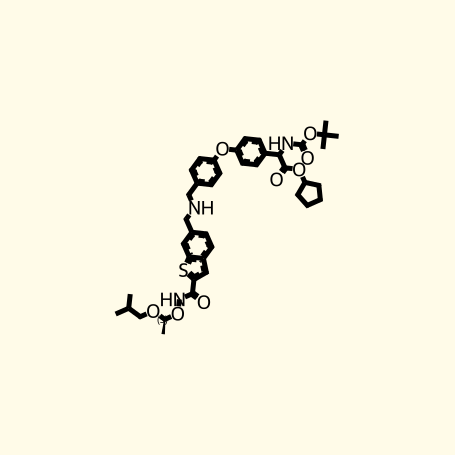 CC(C)CO[C@H](C)ONC(=O)c1cc2ccc(CNCc3ccc(Oc4ccc(C(NC(=O)OC(C)(C)C)C(=O)OC5CCCC5)cc4)cc3)cc2s1